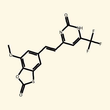 COc1cc(C=Cc2cc(C(F)(F)F)[nH]c(=O)n2)cc2sc(=O)oc12